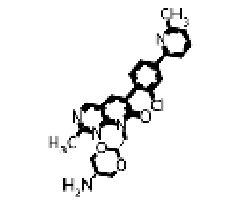 Cc1cccc(-c2ccc(-c3cc4cnc(C)nc4n(C[C@H]4OC[C@H](N)CO4)c3=O)c(Cl)c2)n1